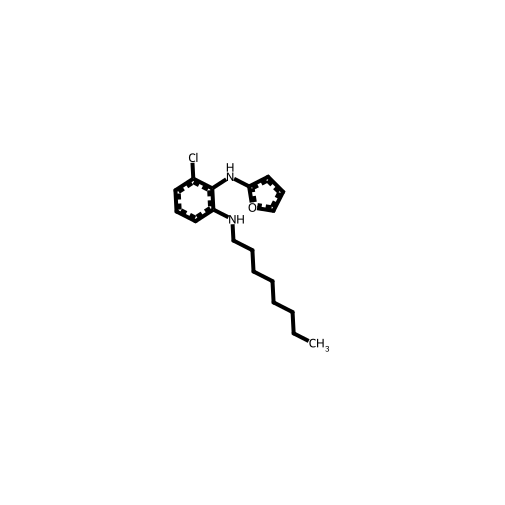 CCCCCCCCNc1cccc(Cl)c1Nc1ccco1